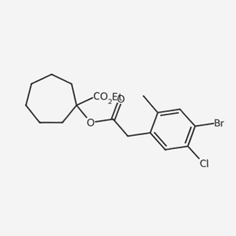 CCOC(=O)C1(OC(=O)Cc2cc(Cl)c(Br)cc2C)CCCCCC1